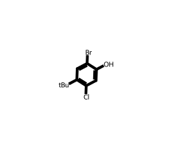 CC(C)(C)c1cc(Br)c(O)cc1Cl